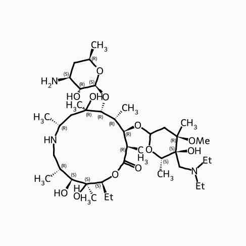 CC[C@@H]1OC(=O)[C@H](C)[C@H](OC2C[C@@](C)(OC)[C@](O)(CN(CC)CC)[C@H](C)O2)[C@@H](C)[C@@H](O[C@@H]2O[C@H](C)C[C@H](N)[C@H]2O)[C@](C)(O)C[C@@H](C)NC[C@@H](C)[C@H](O)[C@]1(C)O